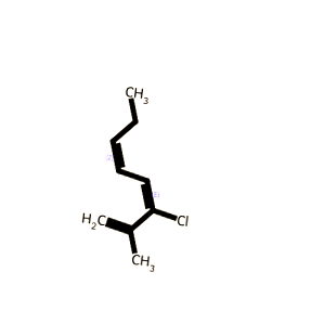 C=C(C)/C(Cl)=C\C=C/CC